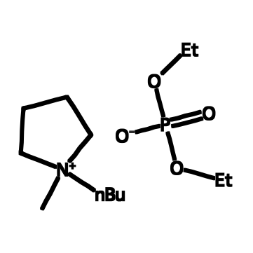 CCCC[N+]1(C)CCCC1.CCOP(=O)([O-])OCC